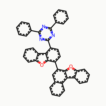 c1ccc(-c2nc(-c3ccccc3)nc(-c3ccc(-c4cc5ccccc5c5c4oc4ccccc45)c4oc5ccccc5c34)n2)cc1